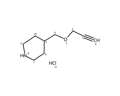 C#CCOCC1CCNCC1.Cl